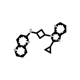 c1cnc2ccc(NC3CC(n4c(C5CC5)nc5cccnc54)C3)nc2c1